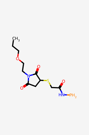 CCCOCCN1C(=O)CC(SCC(=O)NP)C1=O